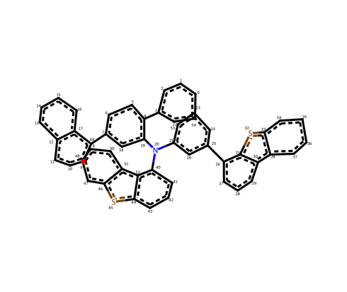 c1ccc(-c2ccc(-c3cccc4ccccc34)cc2N(c2cccc(-c3cccc4c3sc3ccccc34)c2)c2cccc3sc4ccccc4c23)cc1